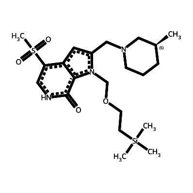 C[C@H]1CCCN(Cc2cc3c(S(C)(=O)=O)c[nH]c(=O)c3n2COCC[Si](C)(C)C)C1